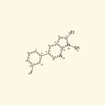 CCc1cc2cc(-c3cccc(F)c3)cnc2n1S